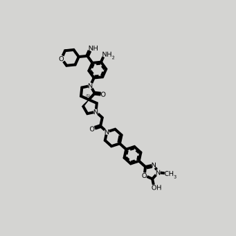 CN1N=C(c2ccc(C3=CCN(C(=O)CN4CC[C@]5(CCN(c6ccc(N)c(C(=N)C7CCOCC7)c6)C5=O)C4)CC3)cc2)OC1O